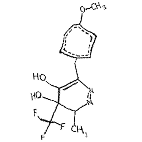 COc1ccc(C2=C(O)C(O)(C(F)(F)F)C(C)N=N2)cc1